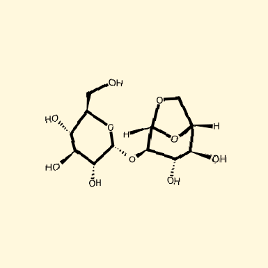 OC[C@H]1O[C@H](O[C@H]2[C@@H]3OC[C@@H](O3)[C@@H](O)[C@@H]2O)[C@H](O)[C@@H](O)[C@@H]1O